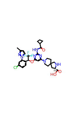 Cc1ccn(-c2cc(Cl)ccc2C(Oc2cc(N3CCC4(CC3)CN[C@H](C(=O)O)C4)nc(NC(=O)C3CCC3)n2)C(F)(F)F)n1